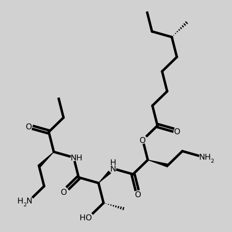 CCC(=O)[C@H](CCN)NC(=O)[C@@H](NC(=O)[C@H](CCN)OC(=O)CCCC[C@@H](C)CC)[C@H](C)O